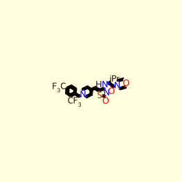 CC(C)[C@H](NC1=NC(=O)SC1=CC1CCN(Cc2ccc(C(F)(F)F)cc2C(F)(F)F)CC1)C(=O)N1CCOCC1